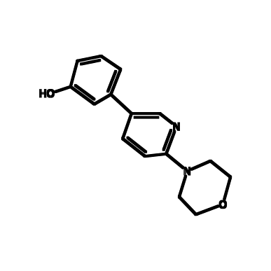 Oc1cccc(-c2ccc(N3CCOCC3)nc2)c1